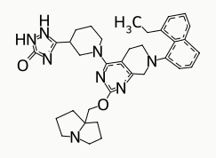 CCc1cccc2cccc(N3CCc4c(nc(OCC56CCCN5CCC6)nc4N4CCCC(c5nc(=O)[nH][nH]5)C4)C3)c12